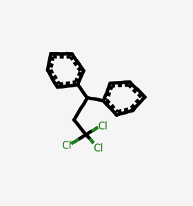 ClC(Cl)(Cl)C[C](c1ccccc1)c1ccccc1